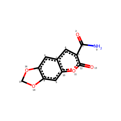 NC(=O)c1cc2cc3c(cc2oc1=O)OCO3